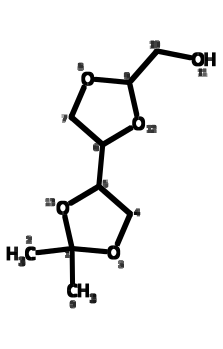 CC1(C)OCC(C2COC(CO)O2)O1